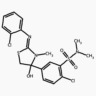 CN1C(=Nc2ccccc2Cl)SCC1(O)c1ccc(Cl)c(S(=O)(=O)N(C)C)c1